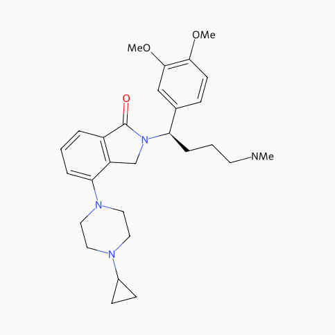 CNCCC[C@H](c1ccc(OC)c(OC)c1)N1Cc2c(cccc2N2CCN(C3CC3)CC2)C1=O